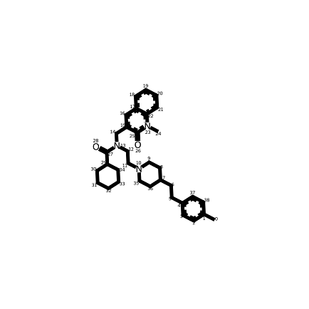 Cc1ccc(CCC2CCN(CCN(Cc3cc4ccccc4n(C)c3=O)C(=O)C3CCCCC3)CC2)cc1